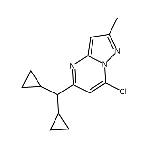 Cc1cc2nc(C(C3CC3)C3CC3)cc(Cl)n2n1